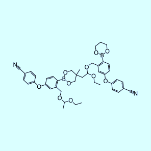 CCOC(C)OCc1cc(Oc2ccc(C#N)cc2)ccc1B1OCC(C)(CC(OCC)OCc2cc(Oc3ccc(C#N)cc3)ccc2B2OCCCO2)CO1